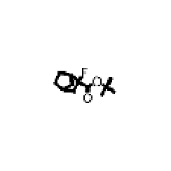 CC(C)(C)OC(=O)C1(F)CC2CCC1C2